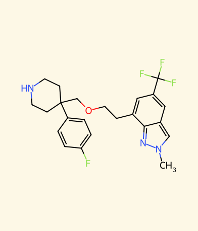 Cn1cc2cc(C(F)(F)F)cc(CCOCC3(c4ccc(F)cc4)CCNCC3)c2n1